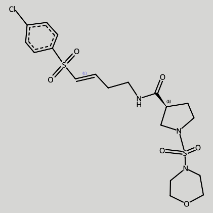 O=C(NCC/C=C/S(=O)(=O)c1ccc(Cl)cc1)[C@H]1CCN(S(=O)(=O)N2CCOCC2)C1